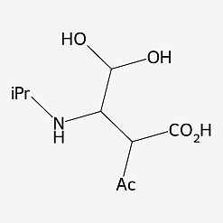 CC(=O)C(C(=O)O)C(NC(C)C)C(O)O